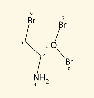 BrOBr.NCCBr